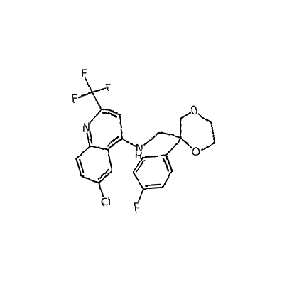 Fc1ccc(C2(CNc3cc(C(F)(F)F)nc4ccc(Cl)cc34)COCCO2)cc1